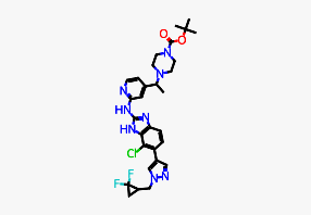 CC(c1ccnc(Nc2nc3ccc(-c4cnn(CC5CC5(F)F)c4)c(Cl)c3[nH]2)c1)N1CCN(C(=O)OC(C)(C)C)CC1